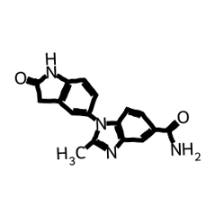 Cc1nc2cc(C(N)=O)ccc2n1-c1ccc2c(c1)CC(=O)N2